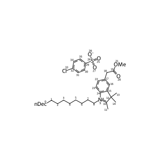 CCCCCCCCCCCCCCCCCC[N+]1=C(C)C(C)(C)c2cc(CC(=O)OC)ccc21.O=S(=O)([O-])c1ccc(Cl)cc1